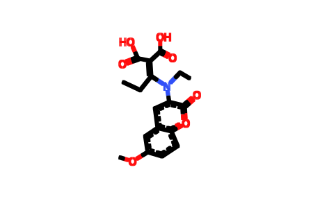 CCC(=C(C(=O)O)C(=O)O)N(CC)c1cc2cc(OC)ccc2oc1=O